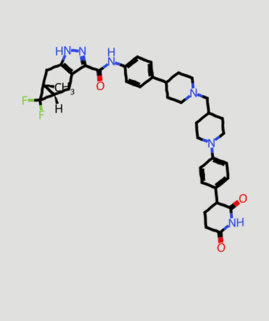 C[C@@]12Cc3[nH]nc(C(=O)Nc4ccc(C5CCN(CC6CCN(c7ccc(C8CCC(=O)NC8=O)cc7)CC6)CC5)cc4)c3C[C@@H]1C2(F)F